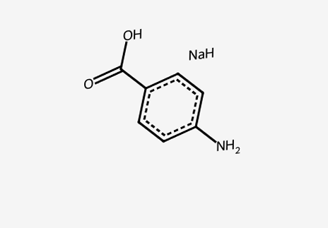 Nc1ccc(C(=O)O)cc1.[NaH]